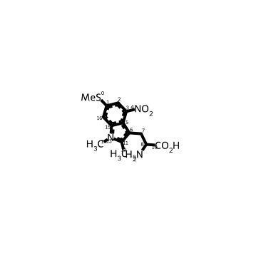 CSc1cc([N+](=O)[O-])c2c(CC(N)C(=O)O)c(C)n(C)c2c1